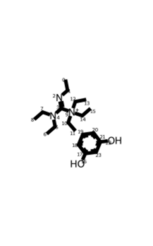 CCN=C(N(CC)CC)[N+](CC)(CC)CC.Oc1cccc(O)c1